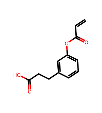 C=CC(=O)Oc1cccc(CCC(=O)O)c1